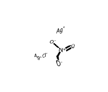 O=[N+]([O-])[O-].[Ag+].[Ag+].[Cl-]